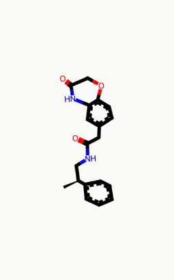 C[C@@H](CNC(=O)Cc1ccc2c(c1)NC(=O)CO2)c1ccccc1